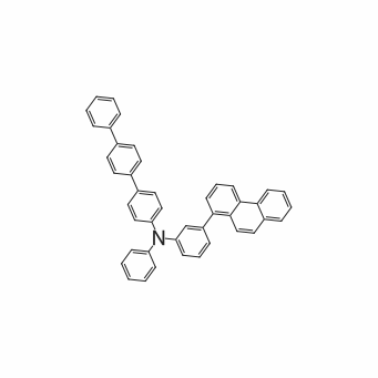 c1ccc(-c2ccc(-c3ccc(N(c4ccccc4)c4cccc(-c5cccc6c5ccc5ccccc56)c4)cc3)cc2)cc1